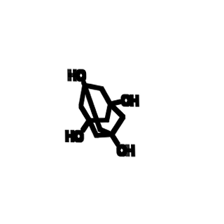 OC12CC3(O)CC(O)(C1)CC(O)(C2)C3